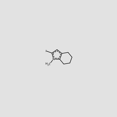 Cn1c(I)cc2c1CCCC2